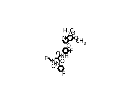 COc1cc2nccc(Oc3ccc(NC(=O)c4cn(CCF)c(=O)n(-c5ccc(F)cc5)c4=O)cc3F)c2cc1OC